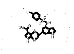 CC(C)(C)C(=O)c1c[nH]c2ncc(-c3cc(NS(=O)(=O)c4ccc(Cl)cc4)c4cc[nH]c4c3)nc12